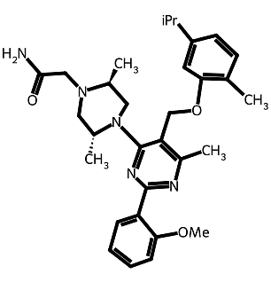 COc1ccccc1-c1nc(C)c(COc2cc(C(C)C)ccc2C)c(N2C[C@H](C)N(CC(N)=O)C[C@H]2C)n1